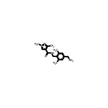 Cc1cc(CN)cc(C)c1CNC(=O)c1cn(C)nc1C(F)(F)F